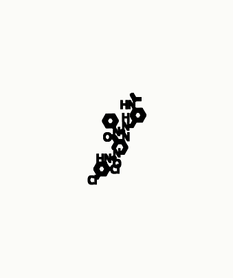 CC(C)Nc1cccc(CNc2nc3c(c(=O)n2-c2ccccc2)CN(C(=O)Nc2ccc(Cl)cc2Cl)CC3)c1